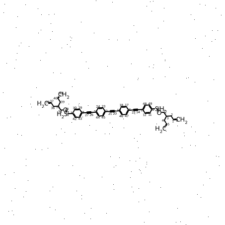 C=CCC(CC=C)CO[SiH2]c1ccc(C#Cc2ccc(C#Cc3ccc(C#Cc4ccc([SiH2]OCC(CC=C)CC=C)cc4)cc3)cc2)cc1